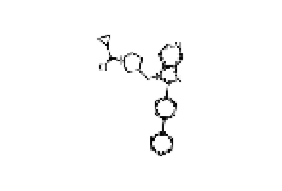 O=C(C1CC1)N1CCC(Cn2c(-c3ccc(-c4ccccc4)cc3)nc3cnccc32)C1